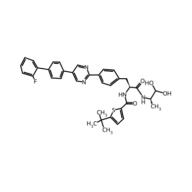 C[C@@H](NC(=O)[C@H](Cc1ccc(-c2ncc(-c3ccc(-c4ccccc4F)cc3)cn2)cc1)NC(=O)c1ccc(C(C)(C)C)s1)C(O)O